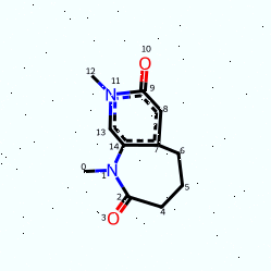 CN1C(=O)CCCc2cc(=O)n(C)cc21